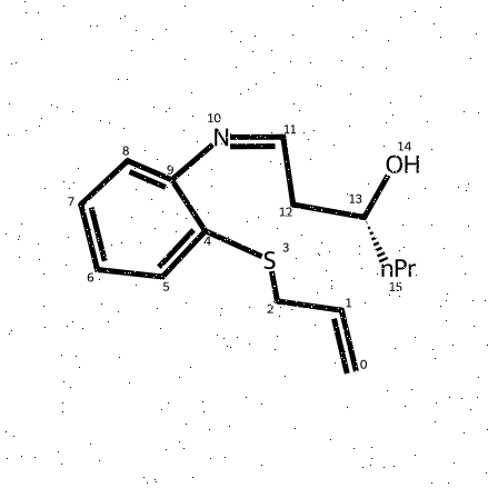 C=CCSc1ccccc1/N=C\C[C@H](O)CCC